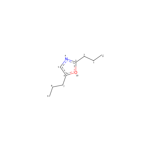 [CH2]CCc1ncc(CCC)o1